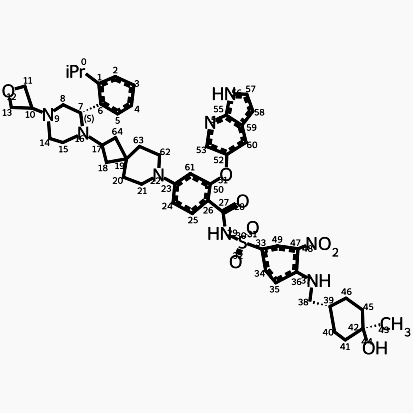 CC(C)c1ccccc1[C@H]1CN(C2COC2)CCN1C1CC2(CCN(c3ccc(C(=O)NS(=O)(=O)c4ccc(NC[C@H]5CC[C@](C)(O)CC5)c([N+](=O)[O-])c4)c(Oc4cnc5[nH]ccc5c4)c3)CC2)C1